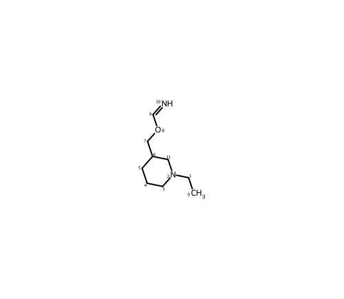 CCN1CCCC(COC=N)C1